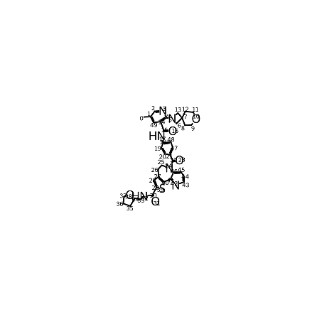 Cc1cnc(N2CC3(CCOCC3)C2)c(C(=O)Nc2ccc(C(=O)N3CCc4cc(C(=O)NCC5CCCO5)sc4-c4ncccc43)cc2)c1